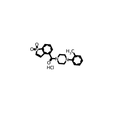 Cc1ccccc1N1CCN(C(=O)c2cccc3c2C=CS3(=O)=O)CC1.Cl